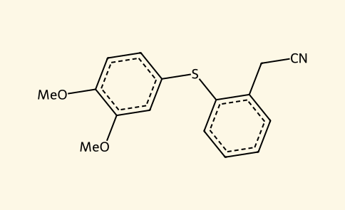 COc1ccc(Sc2ccccc2CC#N)cc1OC